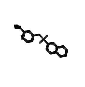 CC(C)(C)c1cc(CC(C)(C)c2ccc3ccccc3c2)ccn1